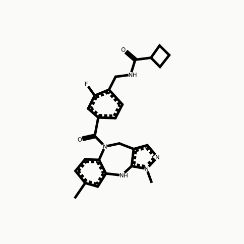 Cc1ccc2c(c1)Nc1c(cnn1C)CN2C(=O)c1ccc(CNC(=O)C2CCC2)c(F)c1